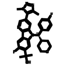 Cc1nnn(C)c1-c1cnc2c3cc(F)c(C(C)(C)O)cc3n([C@H](c3ccc(F)cc3)C3CCOCC3)c2c1